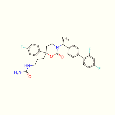 C[C@@H](c1ccc(-c2ccc(F)cc2F)cc1)N1CCC(CCCNC(N)=O)(c2ccc(F)cc2)OC1=O